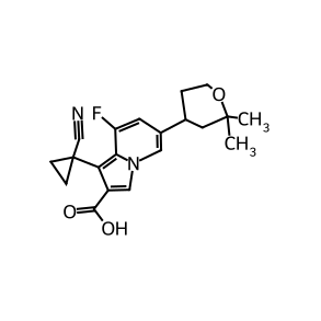 CC1(C)CC(c2cc(F)c3c(C4(C#N)CC4)c(C(=O)O)cn3c2)CCO1